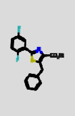 CCOC(=O)c1nc(-c2cc(F)ccc2F)sc1Cc1ccccc1